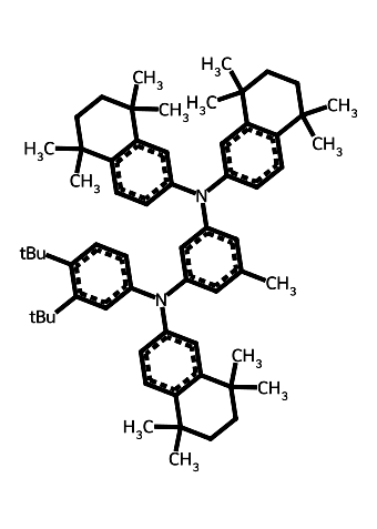 Cc1cc(N(c2ccc(C(C)(C)C)c(C(C)(C)C)c2)c2ccc3c(c2)C(C)(C)CCC3(C)C)cc(N(c2ccc3c(c2)C(C)(C)CCC3(C)C)c2ccc3c(c2)C(C)(C)CCC3(C)C)c1